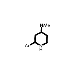 CNC1CCNC(C(C)=O)C1